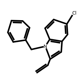 C=Cc1cc2cc(Cl)ccc2n1Cc1ccccc1